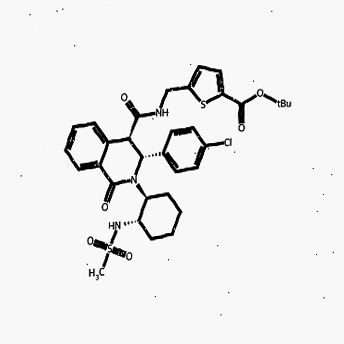 CC(C)(C)OC(=O)c1ccc(CNC(=O)[C@@H]2c3ccccc3C(=O)N([C@H]3CCCC[C@@H]3NS(C)(=O)=O)[C@H]2c2ccc(Cl)cc2)s1